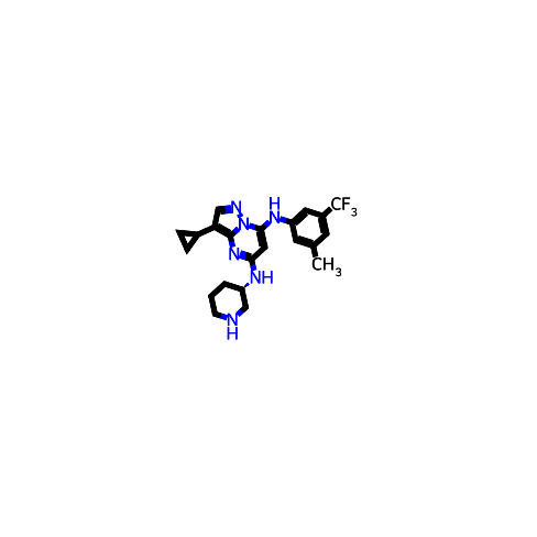 Cc1cc(Nc2cc(N[C@H]3CCCNC3)nc3c(C4CC4)cnn23)cc(C(F)(F)F)c1